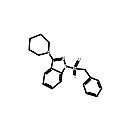 O=S(=O)(Cc1ccccc1)n1nc(N2CCCCC2)c2ccccc21